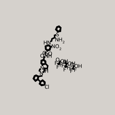 N[C@H](CCNc1ccc(S(=O)(=O)NC(=O)c2ccc3c(c2)CC[C@@H]2CN(Cc4ccccc4-c4ccc(Cl)cc4)CCN32)cc1[N+](=O)[O-])CSc1ccccc1.O=C(O)C(F)(F)F.O=C(O)C(F)(F)F.O=C(O)C(F)(F)F